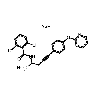 O=C(NC(CC#Cc1ccc(Oc2ncccn2)cc1)C(=O)O)c1c(Cl)cccc1Cl.[NaH]